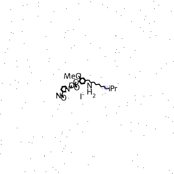 COc1cc(CC(N)CCCC/C=C/C(C)C)ccc1OC(=O)OC[n+]1cccc(C(=O)N(C)C)c1.[I-]